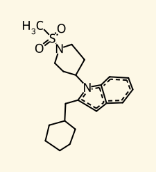 CS(=O)(=O)N1CCC(n2c(CC3CCCCC3)cc3ccccc32)CC1